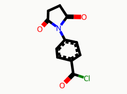 O=C(Cl)c1ccc(N2C(=O)CCC2=O)cc1